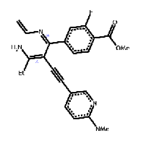 C=C/N=C(\C(C#Cc1ccc(NC)nc1)=C(/N)CC)c1ccc(C(=O)OC)c(F)c1